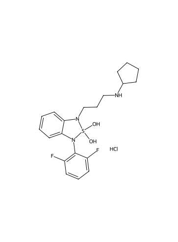 Cl.OS1(O)N(CCCNC2CCCC2)c2ccccc2N1c1c(F)cccc1F